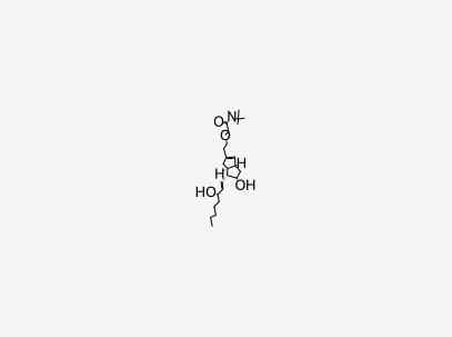 CCCCC[C@H](O)/C=C/[C@@H]1[C@H]2CC(CCOCC(=O)N(C)C(C)(C)C)=C[C@H]2C[C@H]1O